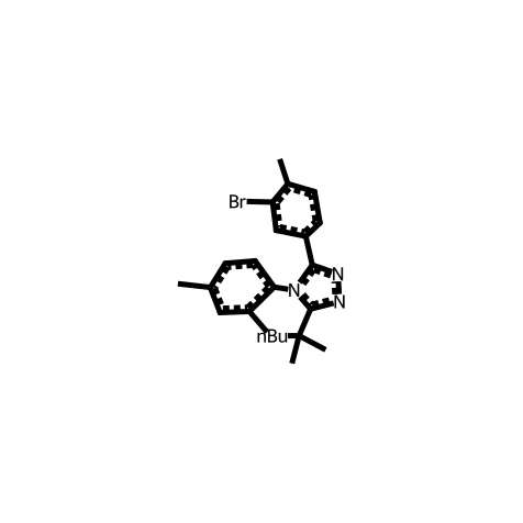 CCCCC(C)(C)c1nnc(-c2ccc(C)c(Br)c2)n1-c1ccc(C)cc1C